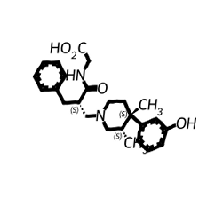 C[C@@H]1CN(C[C@H](Cc2ccccc2)C(=O)NCC(=O)O)CC[C@]1(C)c1cccc(O)c1